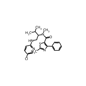 Cc1nc(-c2ccccc2)c(C(=O)N(C)C(CNc2ccc(Cl)cn2)C(C)C)s1